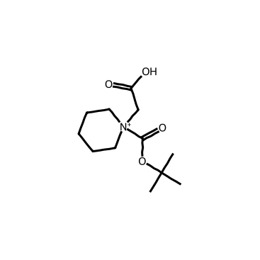 CC(C)(C)OC(=O)[N+]1(CC(=O)O)CCCCC1